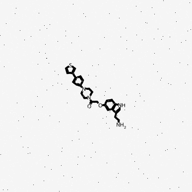 NCCc1c[nH]c2ccc(OCC(=O)N3CCN(c4ccc(-c5ccsc5)cc4)CC3)cc12